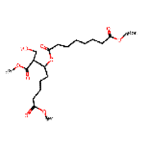 CCCCCCCCCOC(=O)CCCCCCC(=O)OC(CCCCC(=O)OCCC)C(CO)C(=O)OCCC